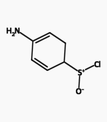 NC1=CCC([S+]([O-])Cl)C=C1